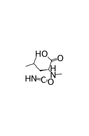 CN[C@@H](CC(C)C)C(=O)O.N=C=O